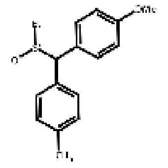 CC[S+]([O-])C(c1ccc(C)cc1)c1ccc(OC)cc1